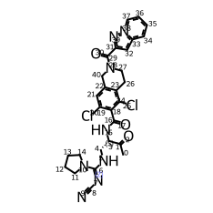 CC(=O)[C@H](CN/C(=N/C#N)N1CCCC1)NC(=O)c1c(Cl)cc2c(c1Cl)CCN(C(=O)c1cc3ccccn3n1)C2